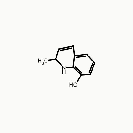 CC1C=Cc2cccc(O)c2N1